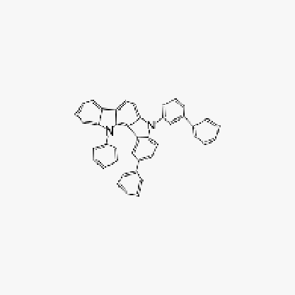 c1ccc(-c2cccc(-n3c4ccc(-c5ccccc5)cc4c4c3ccc3c5ccccc5n(-c5ccccc5)c34)c2)cc1